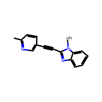 CCCn1c(C#Cc2ccc(C)nc2)nc2ccccc21